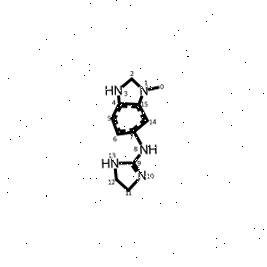 CN1CNc2ccc(NC3=NCCN3)cc21